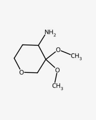 COC1(OC)COCCC1N